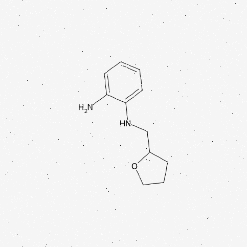 Nc1ccccc1NCC1CCCO1